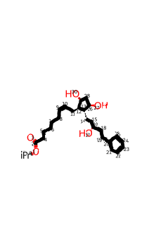 CC(C)OC(=O)CCCCC/C=C\C[C@@H]1[C@@H](CC[C@@H](O)CCc2ccccc2)[C@H](O)C[C@@H]1O